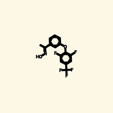 CC(=NO)c1cccc(Oc2c(F)cc(C(F)(F)F)cc2F)c1